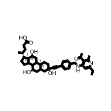 CCc1cc(NCc2ccc(C#C[C@@]3(O)CC[C@@]4(C)C(C[C@@H](O)C5C4C[C@H](O)[C@@]4(C)C5CC[C@@H]4C(C)CCC(=O)O)C3)cc2)c(C(C)=O)c(C)n1